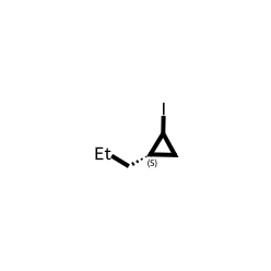 CCC[C@H]1CC1I